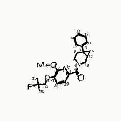 COc1nc(C(=O)N2CCC3(c4ccccc4)CC3C2)ccc1OCC(C)(C)F